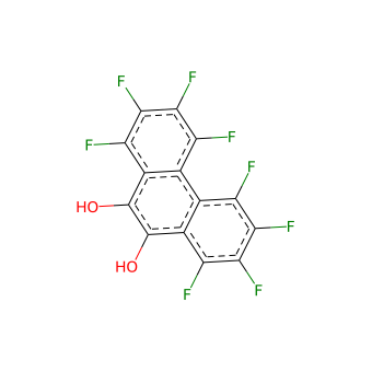 Oc1c(O)c2c(F)c(F)c(F)c(F)c2c2c(F)c(F)c(F)c(F)c12